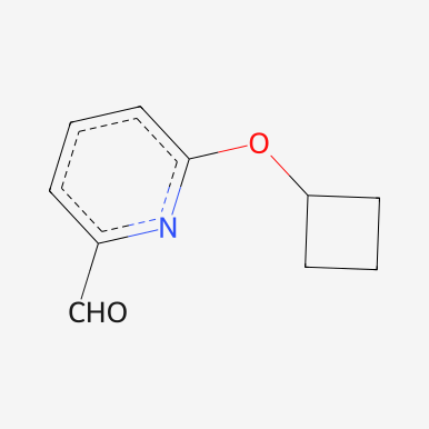 O=Cc1cccc(OC2CCC2)n1